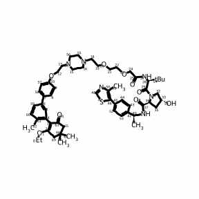 CCOC1=C(c2cc(-c3ccc(OCCN4CCN(CCOCCOCC(=O)N[C@H](C(=O)N5C[C@H](O)C[C@H]5C(=O)N[C@@H](C)c5ccc(-c6scnc6C)cc5)C(C)(C)C)CC4)cc3)ccc2C)C(=O)CC(C)(C)C1